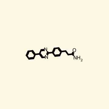 NC(=O)CCc1ccc(-c2ncc(-c3ccccc3)cn2)cc1